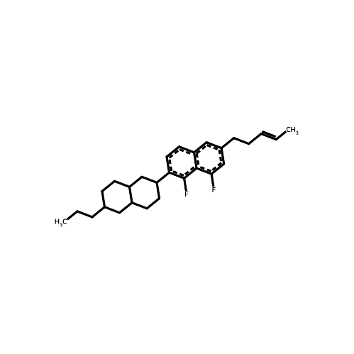 CC=CCCc1cc(F)c2c(F)c(C3CCC4CC(CCC)CCC4C3)ccc2c1